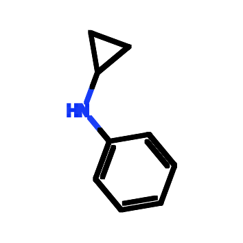 c1ccc(NC2CC2)cc1